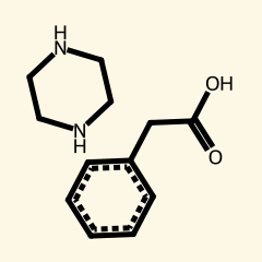 C1CNCCN1.O=C(O)Cc1ccccc1